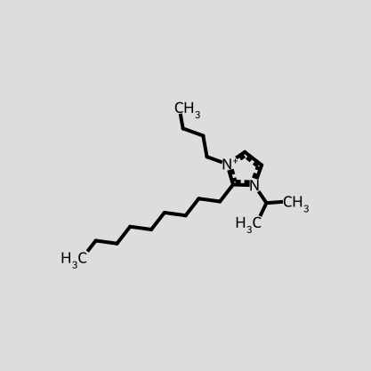 CCCCCCCCCc1n(C(C)C)cc[n+]1CCCC